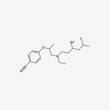 CCN(CCC(S)CC(C)F)CC(C)Oc1ccc(C#N)cc1